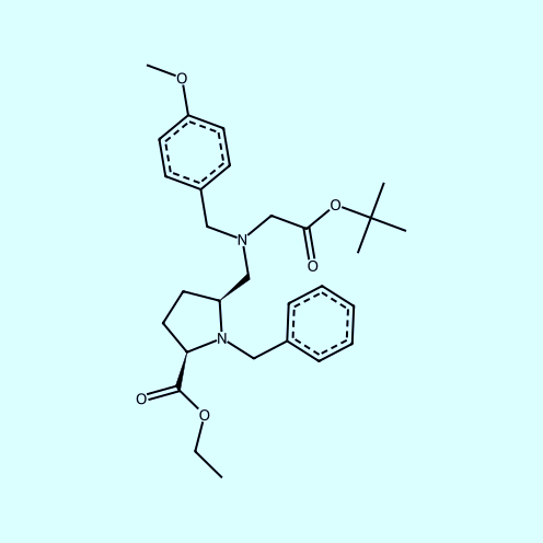 CCOC(=O)[C@H]1CC[C@@H](CN(CC(=O)OC(C)(C)C)Cc2ccc(OC)cc2)N1Cc1ccccc1